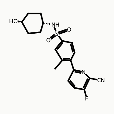 Cc1cc(S(=O)(=O)N[C@H]2CC[C@H](O)CC2)ccc1-c1ccc(F)c(C#N)n1